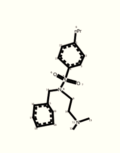 CCCc1ccc(S(=O)(=O)N(CCN(C)C)Cc2ccccc2)cc1